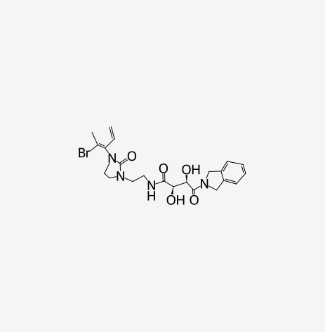 C=C/C(=C(\C)Br)N1CCN(CCNC(=O)[C@H](O)[C@@H](O)C(=O)N2Cc3ccccc3C2)C1=O